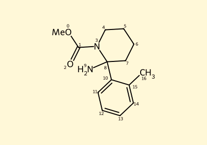 COC(=O)N1CCCCC1(N)c1ccccc1C